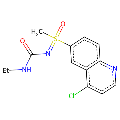 CCNC(=O)N=S(C)(=O)c1ccc2nccc(Cl)c2c1